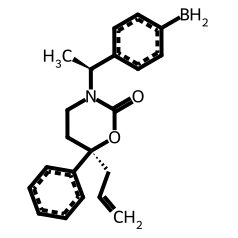 Bc1ccc([C@H](C)N2CC[C@](CC=C)(c3ccccc3)OC2=O)cc1